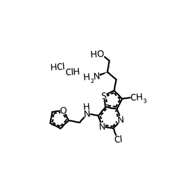 Cc1c(C[C@@H](N)CO)sc2c(NCc3ccco3)nc(Cl)nc12.Cl.Cl